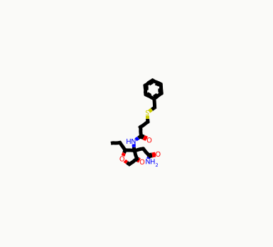 CCC1OCC(=O)C1(CC(N)=O)NC(=O)[CH]CSCc1ccccc1